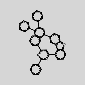 c1ccc(-c2cc(-c3cccc4oc5ccc(-c6ccc(-c7ccccc7)c(-c7ccccc7)c6)cc5c34)nc(-c3ccccc3)n2)cc1